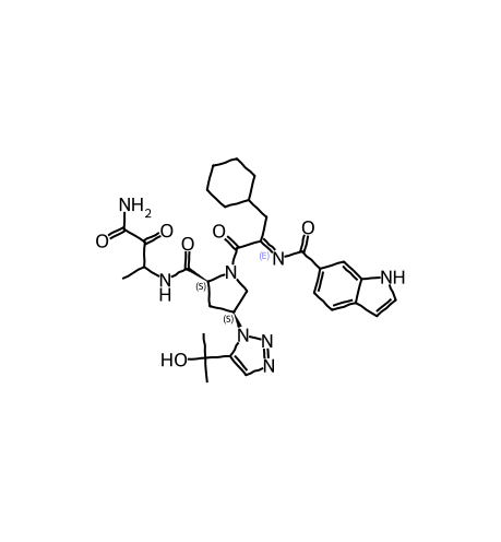 CC(NC(=O)[C@@H]1C[C@H](n2nncc2C(C)(C)O)CN1C(=O)/C(CC1CCCCC1)=N/C(=O)c1ccc2cc[nH]c2c1)C(=O)C(N)=O